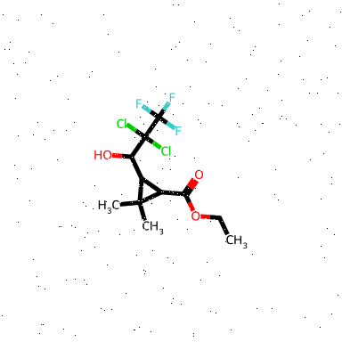 CCOC(=O)C1C(C(O)C(Cl)(Cl)C(F)(F)F)C1(C)C